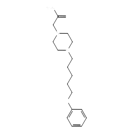 CNC(=O)CN1CCN(CCCCCOc2ccccc2)CC1